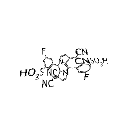 N#CC(C#N)=c1ccn2c(-c3cc(F)cc(S(=O)(=O)O)c3)c3c(=C(C#N)C#N)ccn3c(-c3cc(F)cc(S(=O)(=O)O)c3)c12